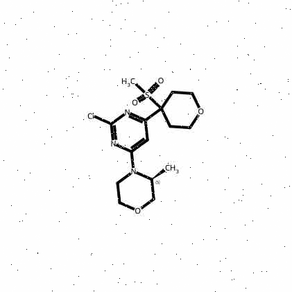 C[C@H]1COCCN1c1cc(C2(S(C)(=O)=O)CCOCC2)nc(Cl)n1